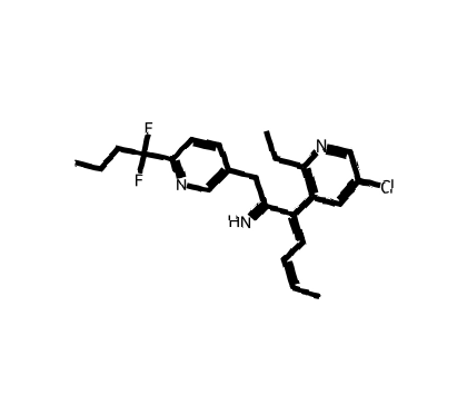 C/C=C\C=C(/C(=N)Cc1ccc(C(F)(F)CCC)nc1)c1cc(Cl)cnc1CC